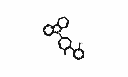 CCCCc1ccccc1C1=C(C)C=CC(n2c3c(c4ccccc42)CCC=C3)=CC1